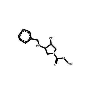 CC(C)(C)OC(=O)N1CC(O)C(NCc2ccccc2)C1